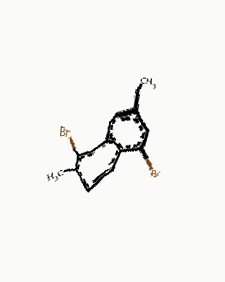 Cc1cc(Br)c2ccc(C)c(Br)c2c1